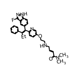 CCC(=C(c1ccc2[nH]nc(F)c2c1)c1ccc(OCCNCC=CC(=O)N(C)C)cn1)c1ccccc1